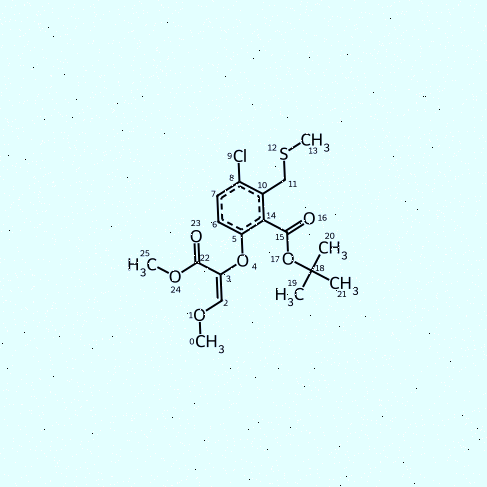 COC=C(Oc1ccc(Cl)c(CSC)c1C(=O)OC(C)(C)C)C(=O)OC